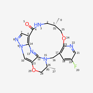 C[C@H]1CNC(=O)c2cnn3cc4c(nc23)N(Cc2cc(F)cnc2OC1)[C@H](C)CO4